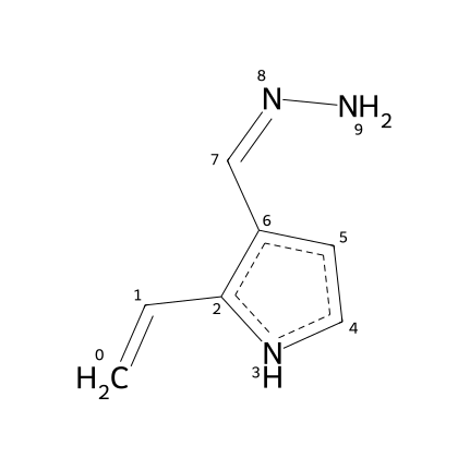 C=Cc1[nH]ccc1/C=N\N